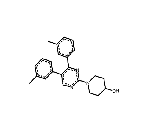 Cc1cccc(-c2nnc(N3CCC(O)CC3)nc2-c2cccc(C)c2)c1